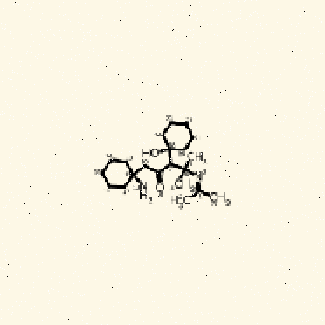 CC(C)=NC(C)(C)C(C(=O)CC1(N)CCCCC1)C1(O)CCCCC1